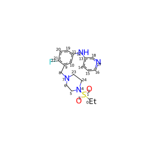 CCS(=O)(=O)N1CCN(Cc2cc(Nc3cccnc3)ccc2F)CC1